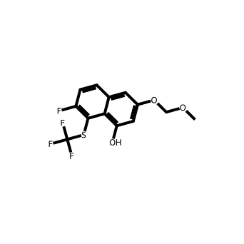 COCOc1cc(O)c2c(SC(F)(F)F)c(F)ccc2c1